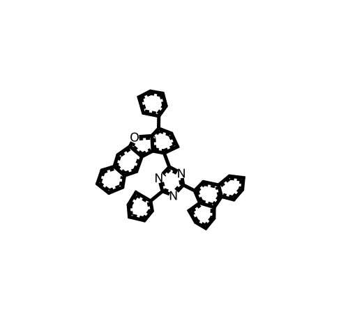 c1ccc(-c2nc(-c3cc4ccccc4c4ccccc34)nc(-c3ccc(-c4ccccc4)c4oc5cc6ccccc6cc5c34)n2)cc1